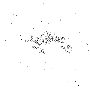 COC(C)C1C[C@@]2(C)C(=CC[C@H]3[C@@H]4CC[C@H]([C@H](C)CCCC(C)C)[C@@]4(C)CC[C@@H]32)C[C@H]1OC(=O)O